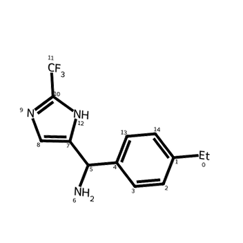 CCc1ccc(C(N)c2cnc(C(F)(F)F)[nH]2)cc1